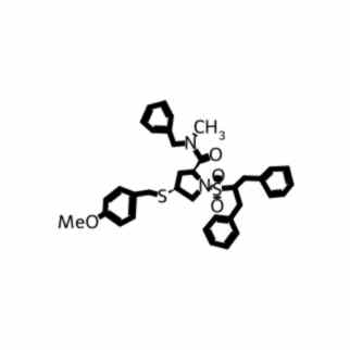 COc1ccc(CS[C@@H]2C[C@@H](C(=O)N(C)Cc3ccccc3)N(S(=O)(=O)C(Cc3ccccc3)Cc3ccccc3)C2)cc1